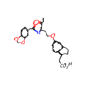 Cc1oc(-c2ccc3c(c2)OCO3)nc1CCOc1ccc2c(c1)CCC2CC(=O)O